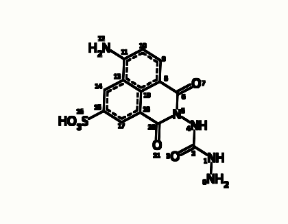 NNC(=O)NN1C(=O)c2ccc(N)c3cc(S(=O)(=O)O)cc(c23)C1=O